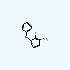 Nc1cccc(Oc2ccccc2)c1F